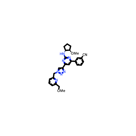 COCc1cccc(Cn2cc(-c3cc(-c4cccc(C#N)c4)nc(N[C@@H]4CCC[C@H]4OC)n3)nn2)n1